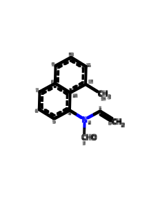 C=CN(C=O)c1cccc2cccc(C)c12